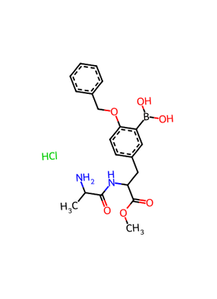 COC(=O)C(Cc1ccc(OCc2ccccc2)c(B(O)O)c1)NC(=O)C(C)N.Cl